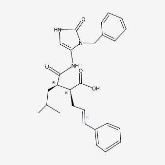 CC(C)C[C@@H](C(=O)Nc1c[nH]c(=O)n1Cc1ccccc1)[C@H](C/C=C/c1ccccc1)C(=O)O